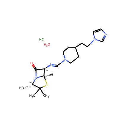 CC1(C)S[C@@H]2[C@H](N=CN3CCC(CCn4ccnc4)CC3)C(=O)N2[C@H]1C(=O)O.Cl.O